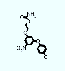 NC(=O)OCCOc1cc(Oc2ccc(Cl)cc2)cc([N+](=O)[O-])c1